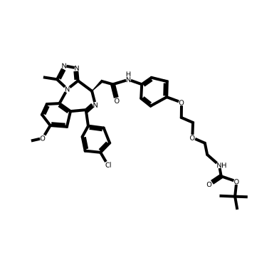 COc1ccc2c(c1)C(c1ccc(Cl)cc1)=N[C@H](CC(=O)Nc1ccc(OCCOCCNC(=O)OC(C)(C)C)cc1)c1nnc(C)n1-2